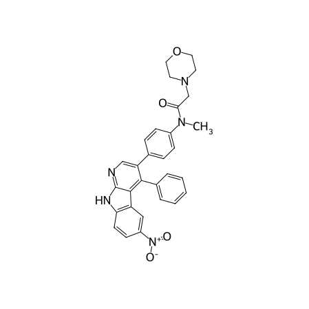 CN(C(=O)CN1CCOCC1)c1ccc(-c2cnc3[nH]c4ccc([N+](=O)[O-])cc4c3c2-c2ccccc2)cc1